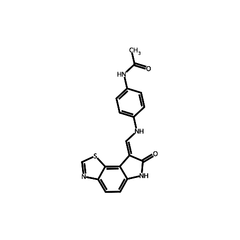 CC(=O)Nc1ccc(N/C=C2\C(=O)Nc3ccc4ncsc4c32)cc1